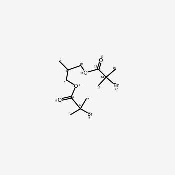 CC(COC(=O)C(C)(C)Br)COC(=O)C(C)(C)Br